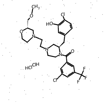 COC[C@@H]1CN(CCN2CCN(C(=O)c3cc(Cl)cc(C(F)(F)F)c3)[C@H](Cc3ccc(Cl)c(O)c3)C2)CCO1.Cl.Cl